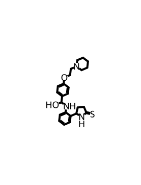 OC(Nc1ccccc1C1CCC(=S)N1)c1ccc(OCCN2CCCCC2)cc1